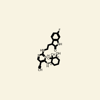 C#Cc1cnc(NCCC2C(=O)Nc3cc(F)ccc32)nc1N[C@@H]1CCC[C@H](O)C1(C)C